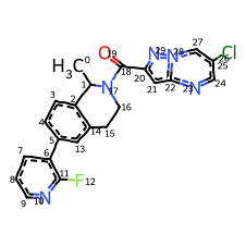 CC1c2ccc(-c3cccnc3F)cc2CCN1C(=O)c1cc2ncc(Cl)cn2n1